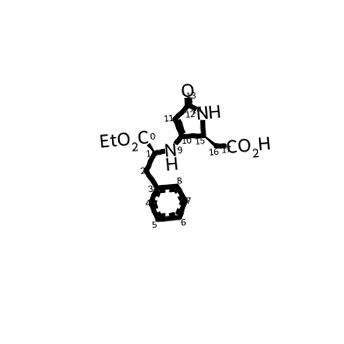 CCOC(=O)[C@H](Cc1ccccc1)NC1=CC(=O)N[C@H]1CC(=O)O